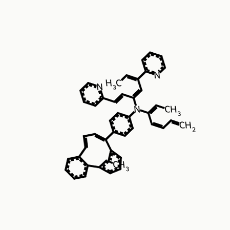 C=C/C=C\C(=C/C)N(C(/C=C/c1ccccn1)=C/C(=C\C)c1ccccn1)c1ccc(/C2=C/C=C/c3ccccc3-c3cccc2c3C)cc1